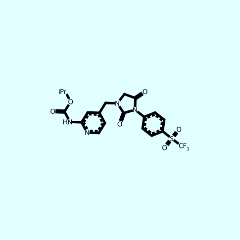 CC(C)OC(=O)Nc1cc(CN2CC(=O)N(c3ccc(S(=O)(=O)C(F)(F)F)cc3)C2=O)ccn1